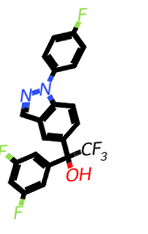 OC(c1cc(F)cc(F)c1)(c1ccc2c(cnn2-c2ccc(F)cc2)c1)C(F)(F)F